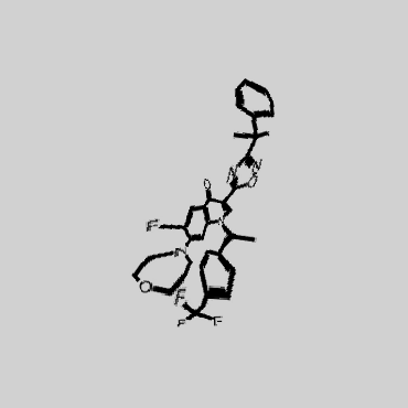 CC(c1ccc(C(F)(F)F)cc1)n1cc(-c2nc(C(C)(C)c3ccccc3)no2)c(=O)c2cc(F)c(N3CCOCC3)cc21